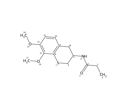 CCC(=O)NC1CSc2c(ccc(OC)c2OC)C1